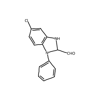 O=CC1Nc2cc(Cl)ccc2N1c1ccccc1